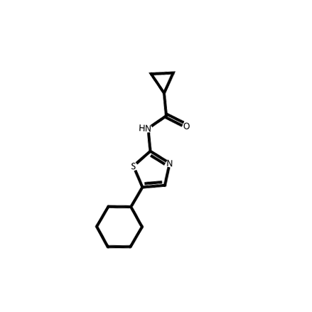 O=C(Nc1ncc(C2CCCCC2)s1)C1CC1